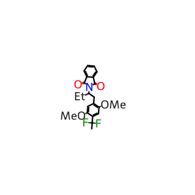 CCC(Cc1cc(OC)c(C(C)(F)F)cc1OC)N1C(=O)c2ccccc2C1=O